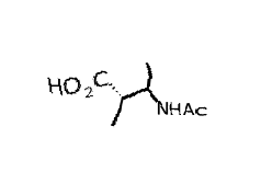 CC(=O)NC(C)[C@H](C)C(=O)O